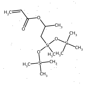 C=CC(=O)OC(C)C[Si](C)(O[Si](C)(C)C)O[Si](C)(C)C